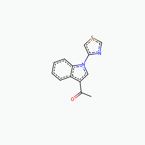 CC(=O)c1cn(-c2cscn2)c2c[c]ccc12